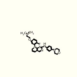 CN(C)CCOc1ccc(F)c(N2CC=Cc3cnc(Nc4ccc(N5CCOCC5)cc4)nc32)c1